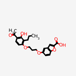 CCCc1c(OCCCOc2ccc3oc(C(=O)O)cc3c2)ccc(C(C)=O)c1O